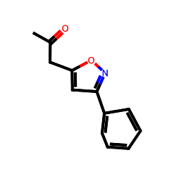 CC(=O)Cc1cc(-c2ccccc2)no1